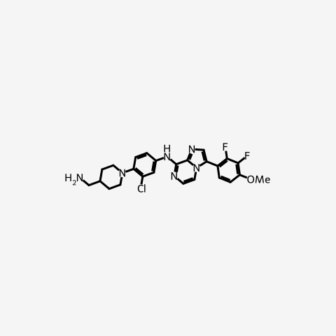 COc1ccc(-c2cnc3c(Nc4ccc(N5CCC(CN)CC5)c(Cl)c4)nccn23)c(F)c1F